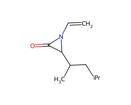 C=CN1C(=O)C1C(C)CC(C)C